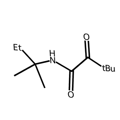 CCC(C)(C)NC(=O)C(=O)C(C)(C)C